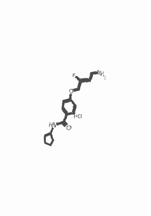 Cl.NC/C=C(\F)COc1ccc(C(=O)NC2CCCC2)cc1